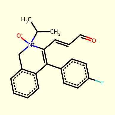 CC(C)[N+]1([O-])Cc2ccccc2C(c2ccc(F)cc2)=C1C=CC=O